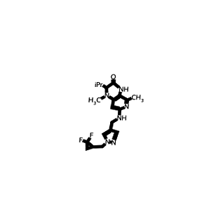 Cc1nc(NCc2cnn(CC3CC3(F)F)c2)cc2c1NC(=O)C(C(C)C)N2C